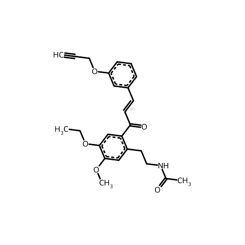 C#CCOc1cccc(/C=C/C(=O)c2cc(OCC)c(OC)cc2CCNC(C)=O)c1